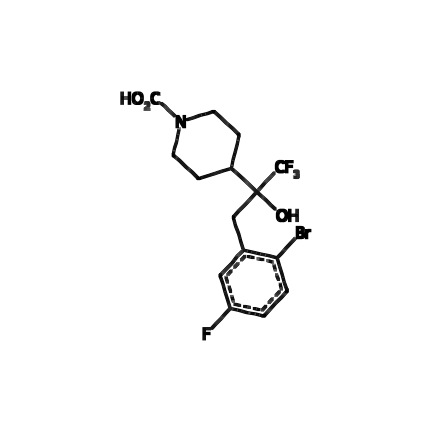 O=C(O)N1CCC(C(O)(Cc2cc(F)ccc2Br)C(F)(F)F)CC1